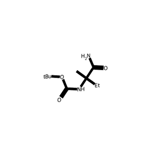 CCC(C)(NC(=O)OC(C)(C)C)C(N)=O